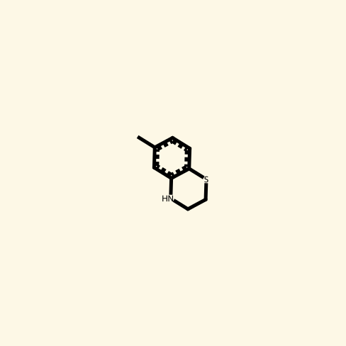 Cc1ccc2c(c1)NCCS2